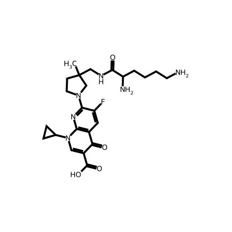 CC1(CNC(=O)C(N)CCCCN)CCN(c2nc3c(cc2F)c(=O)c(C(=O)O)cn3C2CC2)C1